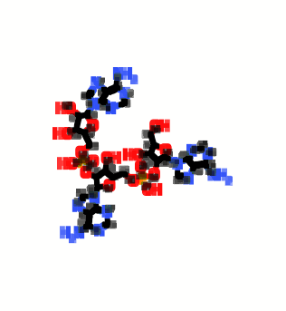 Nc1ncnc2c1ncn2C1OC(COP(=O)(O)OC2C(O)C(COP(=O)(O)OC3C(O)C(CO)OC3n3cnc4c(N)ncnc43)OC2n2cnc3c(N)ncnc32)C(O)C1O